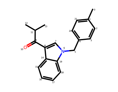 Cc1ccc(Cn2cc(C(=O)C(C)C)c3ccccc32)cc1